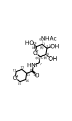 CC(=O)N[C@@H]1C(O)[C@@H](O)[C@@H](CNC(=O)C2CCOCC2)O[C@H]1O